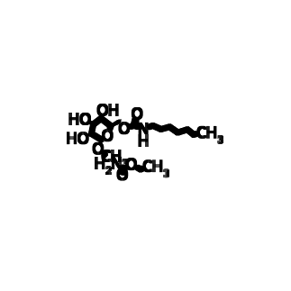 CCCCCCCNC(=O)OC[C@H]1O[C@H](OC)[C@H](O)[C@@H](O)[C@@H]1O.CCOC(N)=O